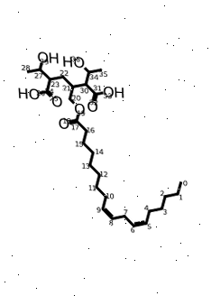 CCCCC/C=C\C/C=C\CCCCCCCC(=O)OCC(CC(C(=O)O)C(C)O)C(C(=O)O)C(C)O